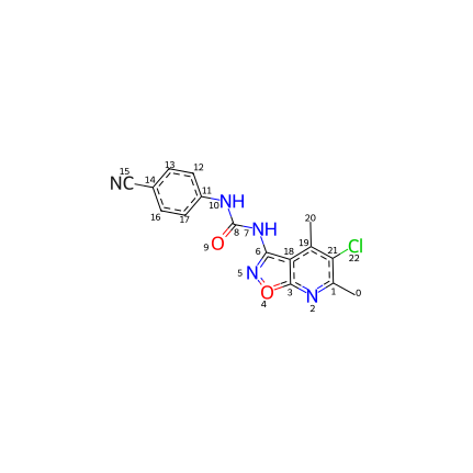 Cc1nc2onc(NC(=O)Nc3ccc(C#N)cc3)c2c(C)c1Cl